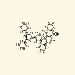 CC1(C)c2ccccc2C(=O)c2ccc(-c3ccccc3-c3cccc(-c4cc(-c5ccccc5)nc(-c5ccccc5)c4)c3)cc21